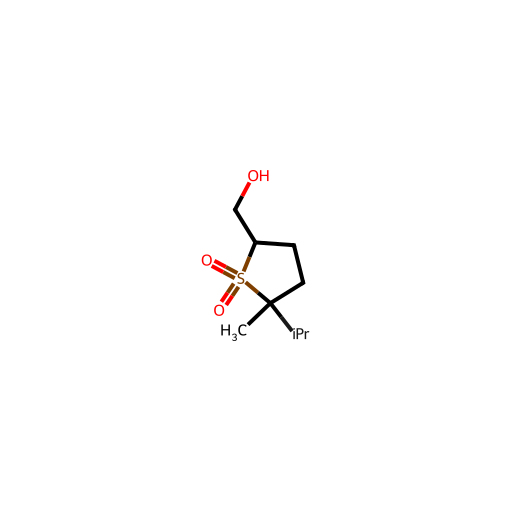 CC(C)C1(C)CCC(CO)S1(=O)=O